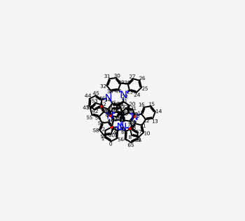 C1=CCC2C(=C1)N(c1cccc3c4ccccc4n(-c4cc(-n5c6ccccc6c6cccc(-n7c8ccccc8c8ccccc87)c65)cc(-n5c6ccccc6c6cccc(-n7c8ccccc8c8ccccc87)c65)c4)c13)c1ccccc12